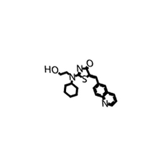 O=C1N=C(N(CCO)C2CCCCC2)S/C1=C\c1ccc2ncccc2c1